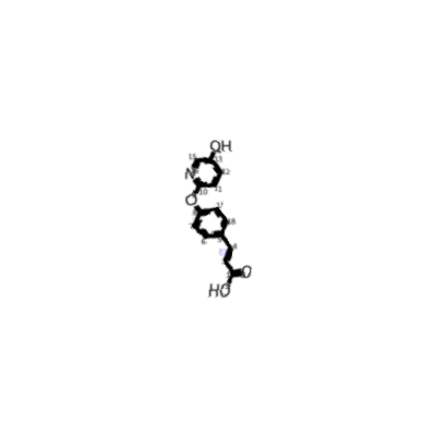 O=C(O)/C=C/c1ccc(Oc2ccc(O)cn2)cc1